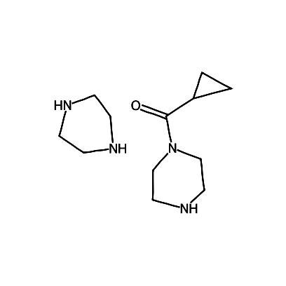 C1CNCCN1.O=C(C1CC1)N1CCNCC1